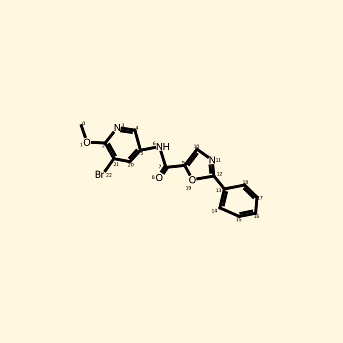 COc1ncc(NC(=O)c2cnc(-c3ccccc3)o2)cc1Br